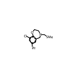 CSCN1CCOc2c(Cl)cc(C(C)C)cc2C1